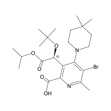 Cc1nc(C(=O)O)c([C@H](OC(C)(C)C)C(=O)OC(C)C)c(N2CCC(C)(C)CC2)c1Br